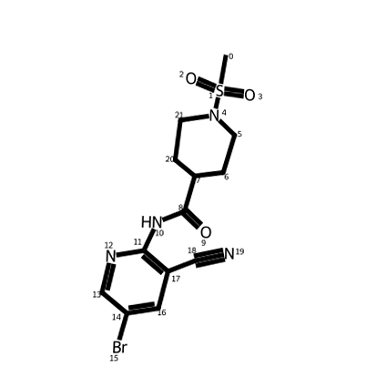 CS(=O)(=O)N1CCC(C(=O)Nc2ncc(Br)cc2C#N)CC1